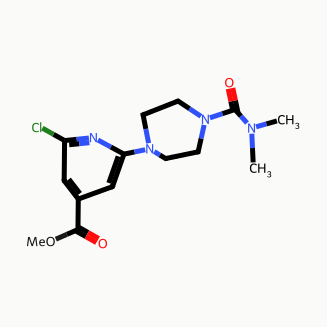 COC(=O)c1cc(Cl)nc(N2CCN(C(=O)N(C)C)CC2)c1